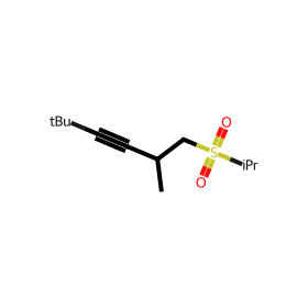 CC(C#CC(C)(C)C)CS(=O)(=O)C(C)C